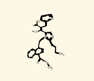 CCCCc1ncc(/C(C)=C(\Cc2cccs2)C(=O)O)n1Cc1ccc(C(=O)OC)c2ccccc12